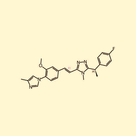 COc1cc(/C=C/c2nnc([C@H](C)c3ccc(F)cc3)n2C)ccc1-n1cnc(C)c1